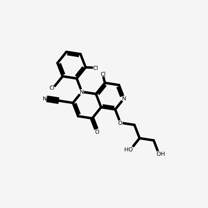 N#Cc1cc(=O)c2c(OCC(O)CO)ncc(Cl)c2n1-c1c(Cl)cccc1Cl